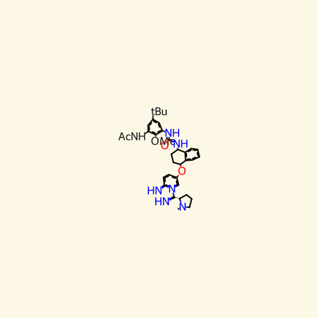 COc1c(NC(C)=O)cc(C(C)(C)C)cc1NC(=O)NC1CCC(Oc2ccc(=N)n(C(=N)[C@@H]3CCCN3C)c2)c2ccccc21